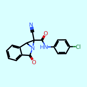 N#CC1(C(=O)Nc2ccc(Cl)cc2)C2c3ccccc3C(=O)N21